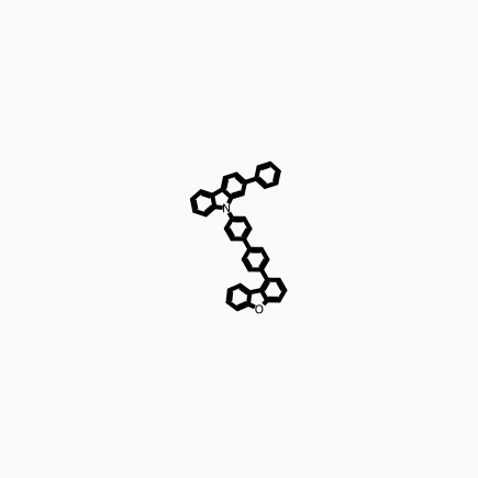 c1ccc(-c2ccc3c4ccccc4n(-c4ccc(-c5ccc(-c6cccc7oc8ccccc8c67)cc5)cc4)c3c2)cc1